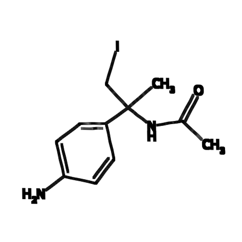 CC(=O)NC(C)(CI)c1ccc(N)cc1